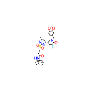 Cc1cc(-c2cc(F)c(=O)n(Cc3ccc4c(c3)OCO4)c2)nc(S(=O)(=O)CCCC(=O)NC23CC4CC(CC(C4)C2)C3)n1